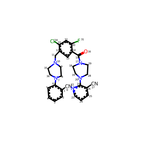 N#Cc1ccccc1N1CCN(Cc2cc(C(=O)N3CCN(c4ncccc4C#N)CC3)c(F)cc2Cl)CC1